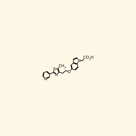 Cc1sc(-c2cccnc2)nc1CCOc1ccc2c(ccn2CC(=O)O)c1